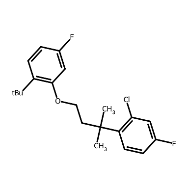 CC(C)(C)c1ccc(F)cc1OCCC(C)(C)c1ccc(F)cc1Cl